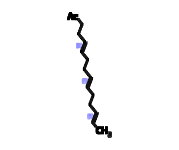 C/C=C/CC/C=C/CC/C=C/CCC(C)=O